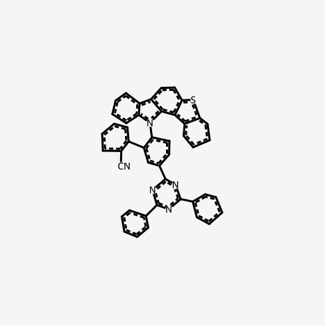 N#Cc1ccccc1-c1cc(-c2nc(-c3ccccc3)nc(-c3ccccc3)n2)ccc1-n1c2ccccc2c2ccc3sc4ccccc4c3c21